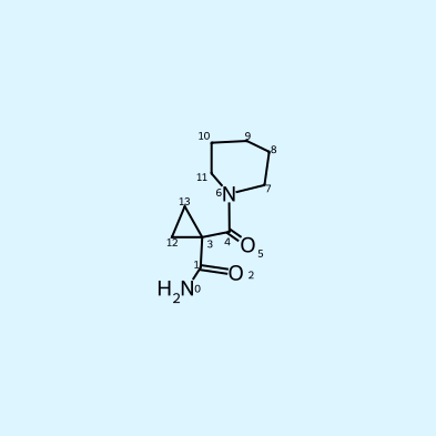 NC(=O)C1(C(=O)N2CCCCC2)CC1